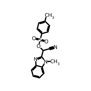 Cc1ccc(S(=O)(=O)OC(C#N)c2nc3ccccc3n2C)cc1